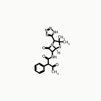 CC(=O)C(C(=O)NC1C(=O)N2C(c3nnn[nH]3)C(C)(C)S[C@@H]12)c1ccccc1